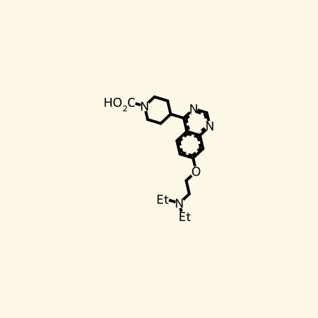 CCN(CC)CCOc1ccc2c(C3CCN(C(=O)O)CC3)ncnc2c1